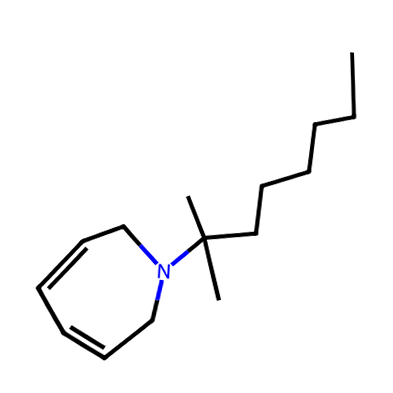 CCCCCCC(C)(C)N1CC=CC=CC1